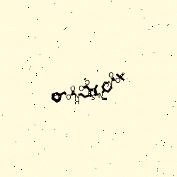 CCN(c1sc(CCNC(=O)OCc2ccccc2)c(C(=O)OC)c1C)C1CCN(C(=O)OC(C)(C)C)CC1